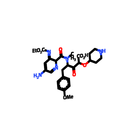 CCOC(=O)N=C1C=C(N)C=NC1C(=O)N(C)C(Cc1ccc(OC)cc1)C(=O)C(OC1CCNCC1)C(=O)O